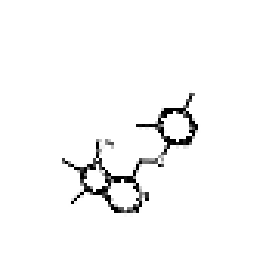 CCCn1c(C)c(C)c2ccnc(COc3ccc(C)cc3C)c21